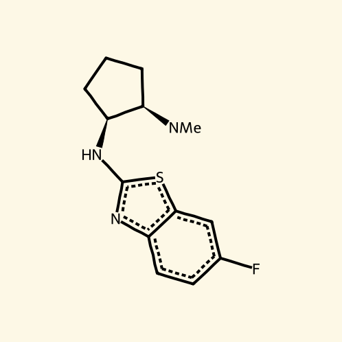 CN[C@@H]1CCC[C@@H]1Nc1nc2ccc(F)cc2s1